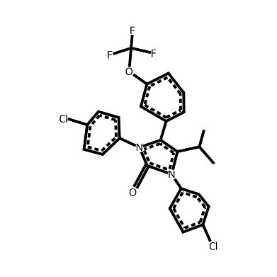 CC(C)c1c(-c2cccc(OC(F)(F)F)c2)n(-c2ccc(Cl)cc2)c(=O)n1-c1ccc(Cl)cc1